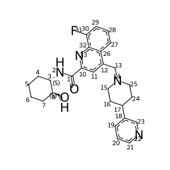 O=C(N[C@H]1CCCC[C@@H]1O)c1cc(CN2CCC(c3cccnc3)CC2)c2cccc(F)c2n1